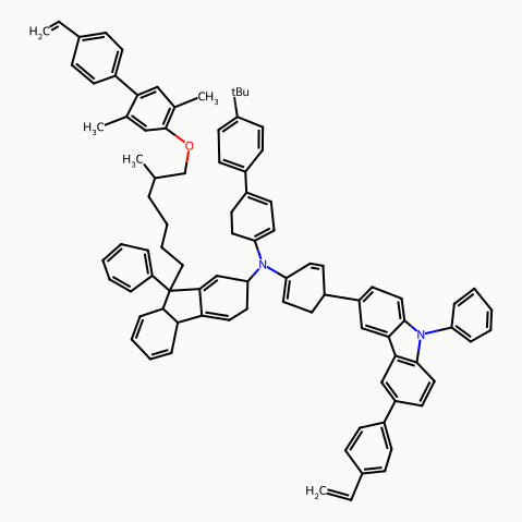 C=Cc1ccc(-c2ccc3c(c2)c2cc(C4C=CC(N(C5=CC=C(c6ccc(C(C)(C)C)cc6)CC5)C5C=C6C(=CC5)C5C=CC=CC5C6(CCCCC(C)COc5cc(C)c(-c6ccc(C=C)cc6)cc5C)c5ccccc5)=CC4)ccc2n3-c2ccccc2)cc1